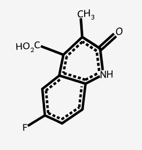 Cc1c(C(=O)O)c2cc(F)ccc2[nH]c1=O